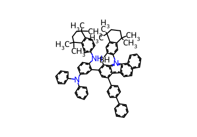 CC1(C)CCC(C)(C)c2cc(Nc3ccc(N(c4ccccc4)c4ccccc4)cc3-c3cc(-c4ccc(-c5ccccc5)cc4)c4c5ccc6ccccc6c5n5c4c3Bc3cc4c(cc3-5)C(C)(C)CCC4(C)C)ccc21